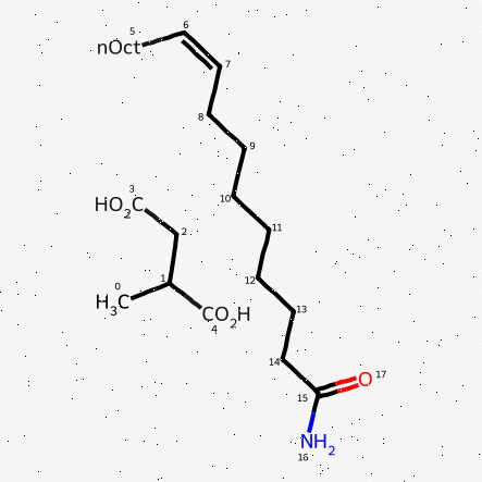 CC(CC(=O)O)C(=O)O.CCCCCCCC/C=C\CCCCCCCC(N)=O